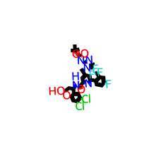 Cn1ccn(Cc2cc(C(=O)NC(CC(=O)O)c3ccc(Cl)c(Cl)c3)nc(-c3ccc(F)cc3C(F)(F)F)c2)c1=NC(=O)OC(C)(C)C